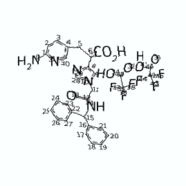 Nc1ccc(CC(C(=O)O)c2cn(CC(=O)NC(c3ccccc3)c3ccccc3)cn2)cn1.O=C(O)C(F)(F)F.O=C(O)C(F)(F)F